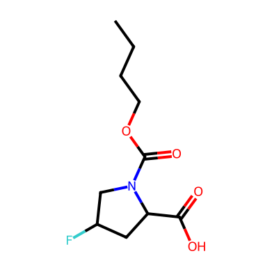 CCCCOC(=O)N1CC(F)CC1C(=O)O